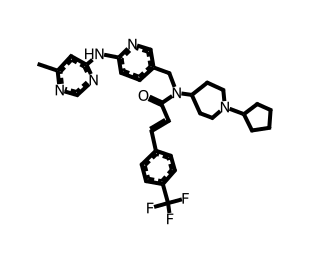 Cc1cc(Nc2ccc(CN(C(=O)C=Cc3ccc(C(F)(F)F)cc3)C3CCN(C4CCCC4)CC3)cn2)ncn1